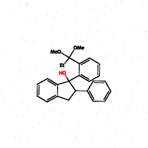 CCC(OC)(OC)c1ccccc1C1(O)c2ccccc2CC1c1ccccc1